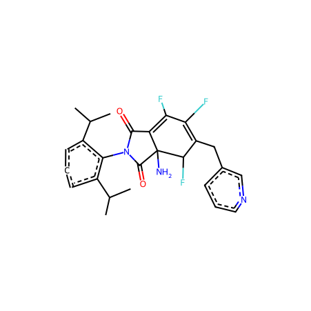 CC(C)c1cccc(C(C)C)c1N1C(=O)C2=C(F)C(F)=C(Cc3cccnc3)C(F)C2(N)C1=O